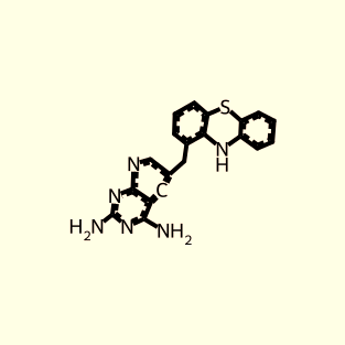 Nc1nc(N)c2cc(Cc3cccc4c3Nc3ccccc3S4)cnc2n1